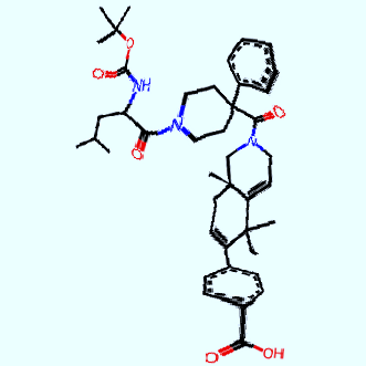 CC(C)CC(NC(=O)OC(C)(C)C)C(=O)N1CCC(C(=O)N2CC=C3C(C)(C)C(c4ccc(C(=O)O)cc4)=CC[C@]3(C)C2)(c2ccccc2)CC1